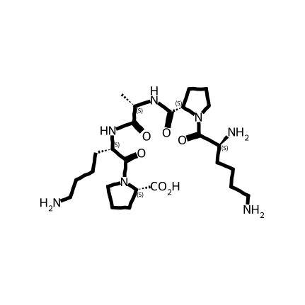 C[C@H](NC(=O)[C@@H]1CCCN1C(=O)[C@@H](N)CCCCN)C(=O)N[C@@H](CCCCN)C(=O)N1CCC[C@H]1C(=O)O